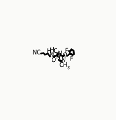 Cc1cn2c(C(=O)NCCCCCC#N)c(C)nc2c(OCc2c(F)cccc2F)n1